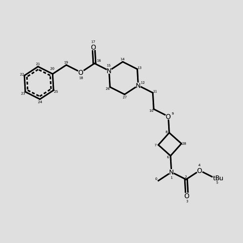 CN(C(=O)OC(C)(C)C)C1CC(OCCN2CCN(C(=O)OCc3ccccc3)CC2)C1